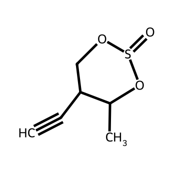 C#CC1COS(=O)OC1C